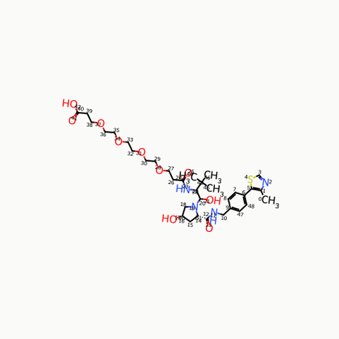 Cc1ncsc1-c1ccc(CNC(=O)[C@@H]2C[C@@H](O)CN2C(O)[C@@H](NC(=O)CCOCCOCCOCCOCCC(=O)O)C(C)(C)C)cc1